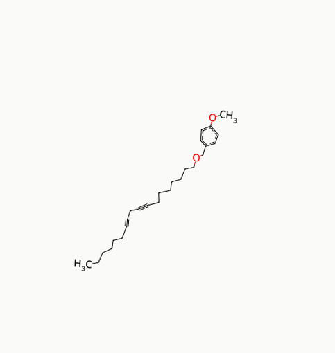 CCCCCCC#CCC#CCCCCCCCOCc1ccc(OC)cc1